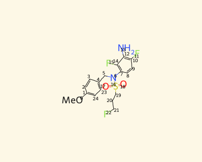 COc1ccc(CN(c2ccc(F)c(N)c2F)S(=O)(=O)CCCF)cc1